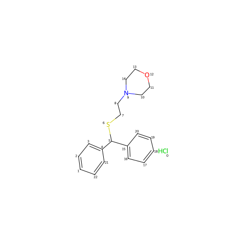 Cl.c1ccc(C(SCCN2CCOCC2)c2ccccc2)cc1